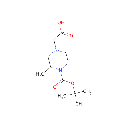 CC1CN(CC(=O)O)CCN1C(=O)OC(C)(C)C